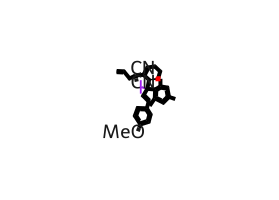 C=CCC(C#N)(C#N)C1=CCCC[C@H]1[C@@](I)(/C=C/c1ccc(OC)cc1)c1c(C)cc(C)cc1C